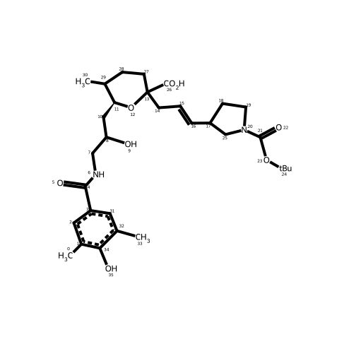 Cc1cc(C(=O)NCC(O)C[C@@H]2OC(C/C=C/C3CCN(C(=O)OC(C)(C)C)C3)(C(=O)O)CCC2C)cc(C)c1O